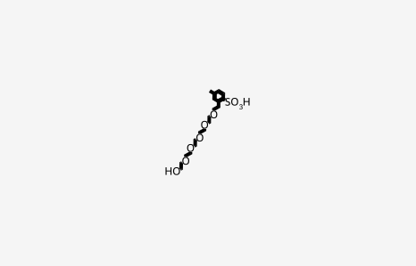 Cc1ccc(S(=O)(=O)O)c(CCOCCOCCOCCOCCOCCO)c1